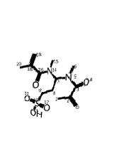 C=C(C)C(=O)N(C)C(CCS(=O)(=O)O)N(C)C(=O)C(=C)C